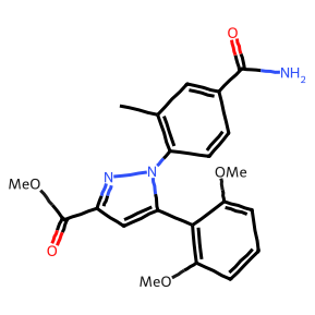 COC(=O)c1cc(-c2c(OC)cccc2OC)n(-c2ccc(C(N)=O)cc2C)n1